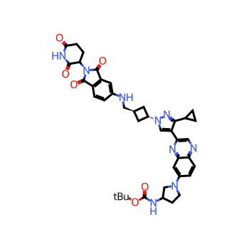 CC(C)(C)OC(=O)NC1CCN(c2ccc3ncc(-c4cn([C@H]5C[C@H](CNc6ccc7c(c6)C(=O)N(C6CCC(=O)NC6=O)C7=O)C5)nc4C4CC4)nc3c2)C1